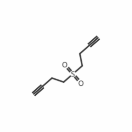 C#CCCS(=O)(=O)CCC#C